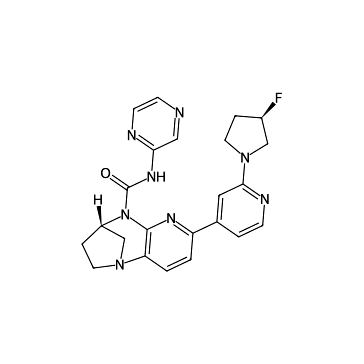 O=C(Nc1cnccn1)N1c2nc(-c3ccnc(N4CC[C@@H](F)C4)c3)ccc2N2CC[C@H]1C2